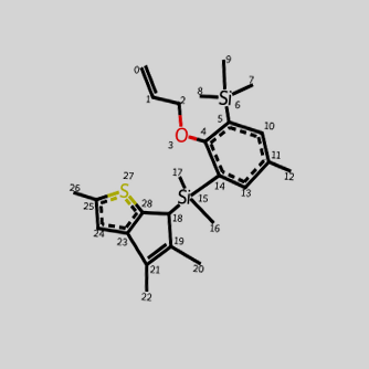 C=CCOc1c([Si](C)(C)C)cc(C)cc1[Si](C)(C)C1C(C)=C(C)c2cc(C)sc21